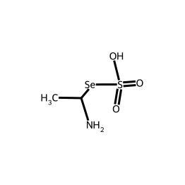 CC(N)[Se]S(=O)(=O)O